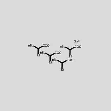 CCCCC(CC)C(=O)[O-].CCCCC(CC)C(=O)[O-].CCCCC(CC)C(=O)[O-].CCCCC(CC)C(=O)[O-].[Sn+4]